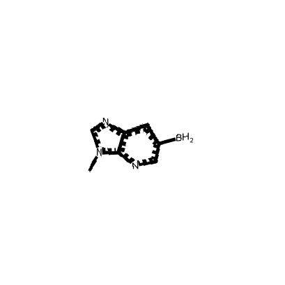 Bc1cnc2c(c1)ncn2C